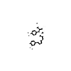 CCOC(=O)C1=C(C)N=c2s/c(=C/c3ccc(-c4ccc(C)c([N+](=O)[O-])c4)o3)c(=O)n2C1c1ccc(N(C)C)cc1